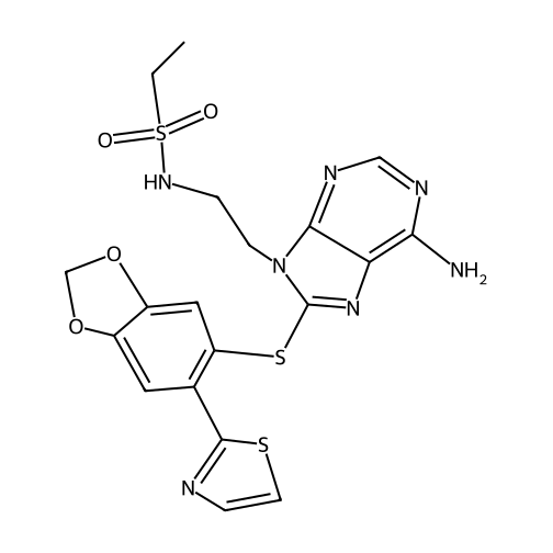 CCS(=O)(=O)NCCn1c(Sc2cc3c(cc2-c2nccs2)OCO3)nc2c(N)ncnc21